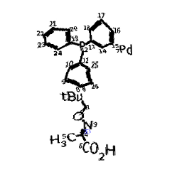 [CH2-]C(C)(C)CO/N=C(\C)C(=O)O.[Pd].c1ccc(P(c2ccccc2)c2ccccc2)cc1